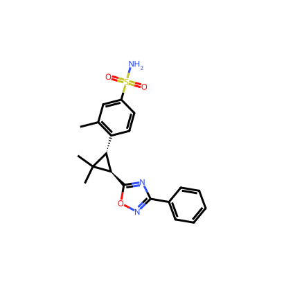 Cc1cc(S(N)(=O)=O)ccc1[C@@H]1[C@@H](c2nc(-c3ccccc3)no2)C1(C)C